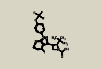 CC(C)(C)C1C(c2nn(-c3ccc(OC(F)(F)F)cc3)c3nccc(I)c23)CN1C(=O)O